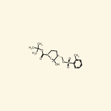 Cc1ccccc1S(=O)(=O)OC[C@H]1CCN(C(=O)OC(C)(C)C)C[C@@H]1O